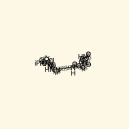 CC(C)S(=O)(=O)c1ccccc1Nc1nc(NC2CCCN(CCCCCCCNC(=O)COc3cccc4c3C(=O)N(C3CCC(=O)NC3=O)C4=O)C2)ncc1Cl